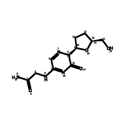 NC(=O)CNc1cnn([C@H]2CC[C@@H](CO)O2)c(=O)n1